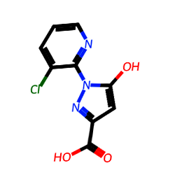 O=C(O)c1cc(O)n(-c2ncccc2Cl)n1